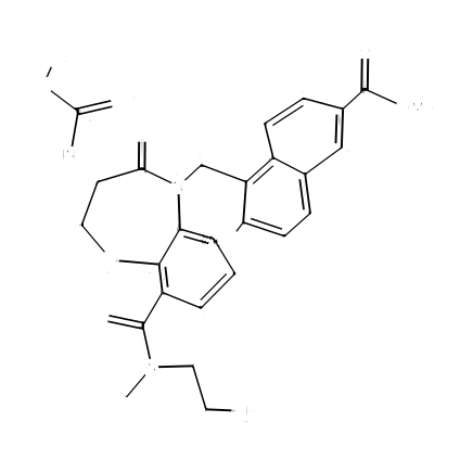 COC(=O)c1ccc2c(CN3C(=O)[C@@H](NC(=O)OC(C)(C)C)COc4c(C(=O)N(C)CCO)cccc43)c(OC)ccc2c1